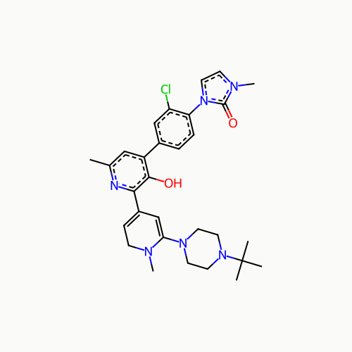 Cc1cc(-c2ccc(-n3ccn(C)c3=O)c(Cl)c2)c(O)c(C2=CCN(C)C(N3CCN(C(C)(C)C)CC3)=C2)n1